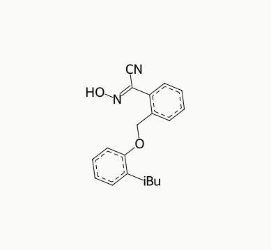 CCC(C)c1ccccc1OCc1ccccc1C(C#N)=NO